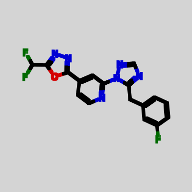 Fc1cccc(Cc2ncnn2-c2cc(-c3nnc(C(F)F)o3)ccn2)c1